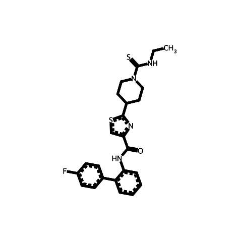 CCNC(=S)N1CCC(c2nc(C(=O)Nc3ccccc3-c3ccc(F)cc3)cs2)CC1